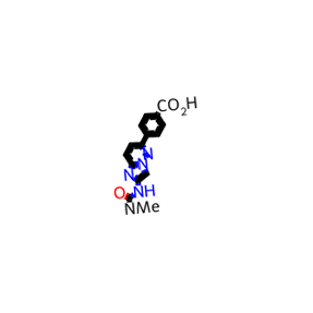 CNC(=O)Nc1cn2nc(-c3ccc(C(=O)O)cc3)ccc2n1